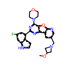 COC1CN(Cc2cnc3oc4c(N5CCOCC5)nc(-c5cc(F)cc6[nH]ccc56)nc4c3c2)C1